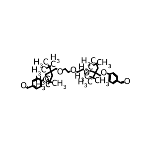 CC(C)(C)CC(COCCOCCOCC(COc1ccc(C=O)cc1)(CC(C)(C)C)C(C)(C)C)(COc1ccc(C=O)cc1)C(C)(C)C